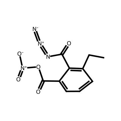 CCc1cccc(C(=O)O[N+](=O)[O-])c1C(=O)N=[N+]=[N-]